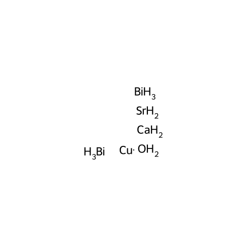 O.[BiH3].[BiH3].[CaH2].[Cu].[SrH2]